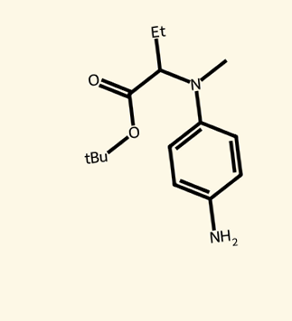 CCC(C(=O)OC(C)(C)C)N(C)c1ccc(N)cc1